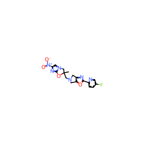 CC1(CN2Cc3nc(-c4ccc(F)cn4)oc3C2)Cn2cc([N+](=O)[O-])nc2O1